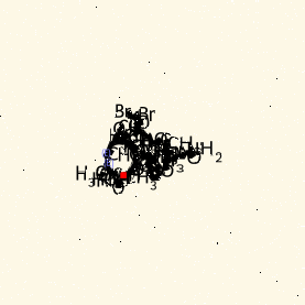 COc1cc2cc(c1Cl)N(C)C(=O)C[C@H](OC(=O)[C@H](C)N(C)C(=O)c1ccccc1NC(=O)[C@H](CCCNC(N)=O)NC(=O)[C@@H](NC(=O)CCCCC(C)OC(=O)C(CBr)CBr)C(C)C)[C@]1(C)O[C@H]1[C@H](C)[C@@H]1C[C@@](O)(NC(=O)O1)[C@H](OC)/C=C/C=C(\C)C2